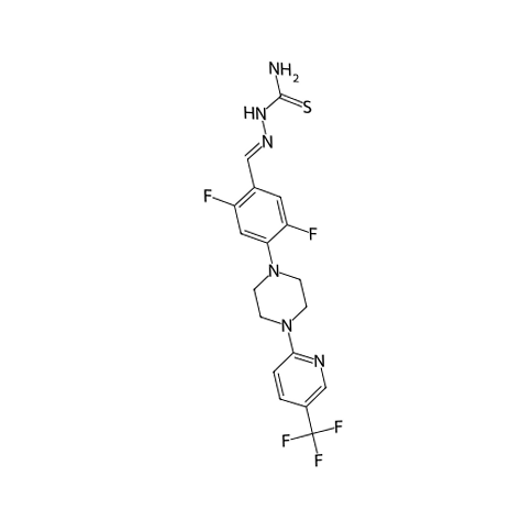 NC(=S)NN=Cc1cc(F)c(N2CCN(c3ccc(C(F)(F)F)cn3)CC2)cc1F